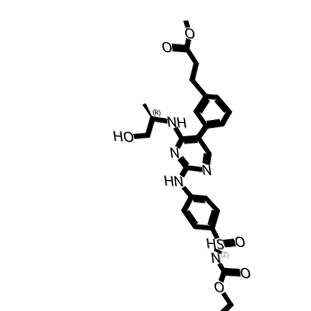 CCOC(=O)/N=[SH](=O)/c1ccc(Nc2ncc(-c3cccc(CCC(=O)OC)c3)c(N[C@H](C)CO)n2)cc1